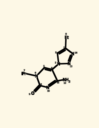 CCc1cn(-c2cn(C(C)C)c(=O)nc2N)nn1